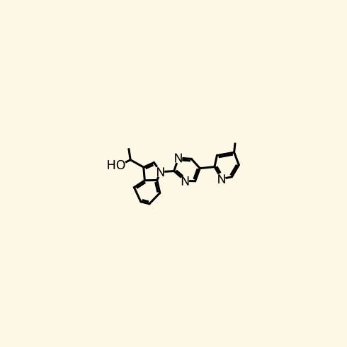 Cc1ccnc(-c2cnc(-n3cc(C(C)O)c4ccccc43)nc2)c1